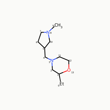 CCC1CN(CC2CCN(C)C2)CCO1